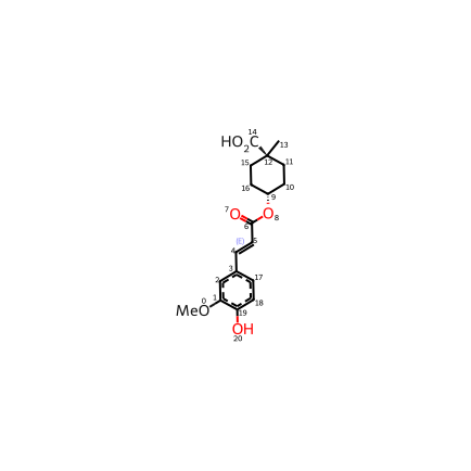 COc1cc(/C=C/C(=O)O[C@H]2CC[C@](C)(C(=O)O)CC2)ccc1O